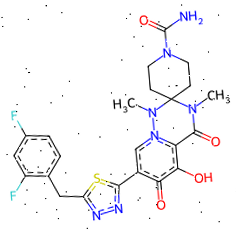 CN1C(=O)c2c(O)c(=O)c(-c3nnc(Cc4ccc(F)cc4F)s3)cn2N(C)C12CCN(C(N)=O)CC2